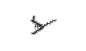 CCCCCCCCCC[SiH](CCCCCCCC)CCCCCCC(C)CCC